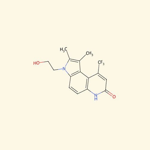 Cc1c(C)n(CCO)c2ccc3[nH]c(=O)cc(C(F)(F)F)c3c12